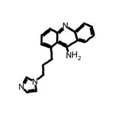 Nc1c2ccccc2nc2cccc(CCCn3ccnc3)c12